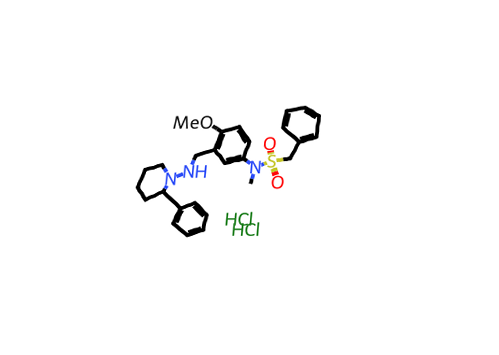 COc1ccc(N(C)S(=O)(=O)Cc2ccccc2)cc1CNN1CCCCC1c1ccccc1.Cl.Cl